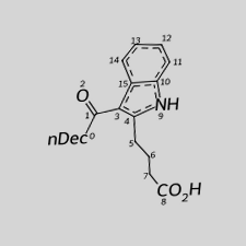 CCCCCCCCCCC(=O)c1c(CCCC(=O)O)[nH]c2ccccc12